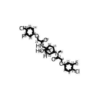 CN(C(=O)COc1ccc(Cl)c(F)c1)C12CCC(NC(=O)COc3ccc(Cl)c(F)c3)(CC1)[C@@H](O)C2